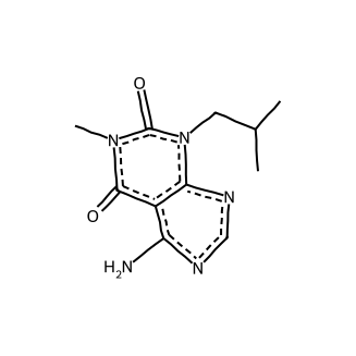 CC(C)Cn1c(=O)n(C)c(=O)c2c(N)ncnc21